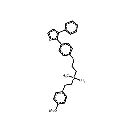 COc1ccc(CC[N+](C)(C)CCOc2ccc(-c3occc3-c3ccccc3)cc2)cc1